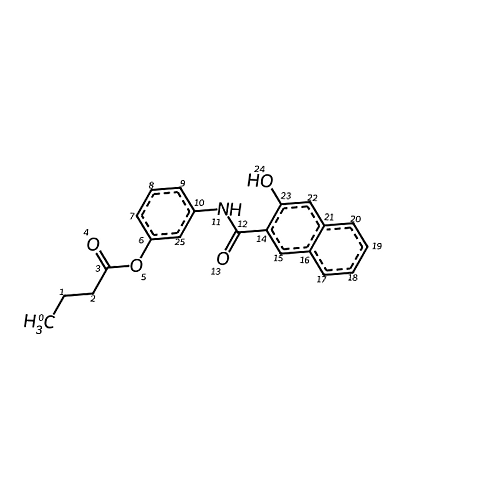 CCCC(=O)Oc1cccc(NC(=O)c2cc3ccccc3cc2O)c1